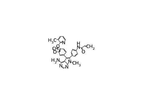 C=CC(=O)Nc1ccc(-c2c(-c3ccc(Oc4ncccc4C)c(OC)c3)c3c(N)ncnc3n2C)cc1